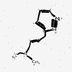 CN(C)C=Cc1cccnn1